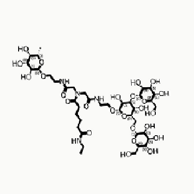 CCNC(=O)CCCCC(=O)N(CC(=O)NCCO[C@@H]1O[C@@H](C)[C@@H](O)[C@@H](O)[C@@H]1O)CC(=O)NCCO[C@H]1O[C@H](CO[C@H]2O[C@H](CO)[C@@H](O)[C@H](O)[C@@H]2O)[C@@H](O)[C@H](O[C@H]2O[C@H](CO)[C@@H](O)[C@H](O)[C@@H]2O)[C@@H]1O